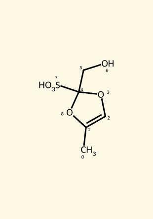 CC1=COC(CO)(S(=O)(=O)O)O1